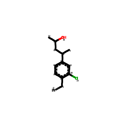 CC(C)Cc1ccc(C(C)CC(C)O)cc1Cl